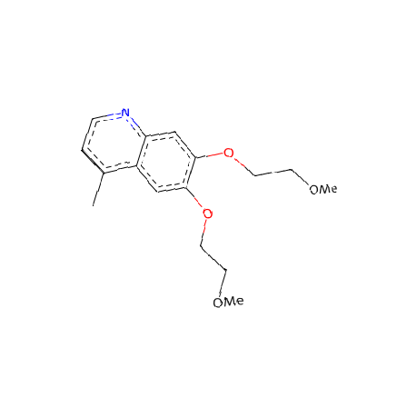 COCCOc1cc2nccc(C)c2cc1OCCOC